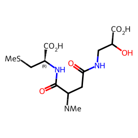 CNC(CC(=O)NCC(O)C(=O)O)C(=O)N[C@@H](CSC)C(=O)O